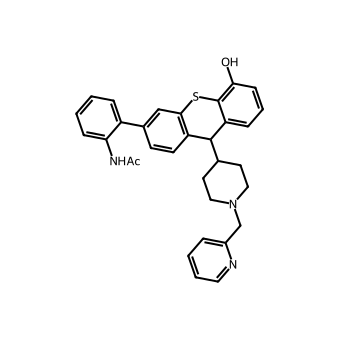 CC(=O)Nc1ccccc1-c1ccc2c(c1)Sc1c(O)cccc1C2C1CCN(Cc2ccccn2)CC1